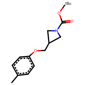 Cc1ccc(OCC2CN(C(=O)OC(C)(C)C)C2)cc1